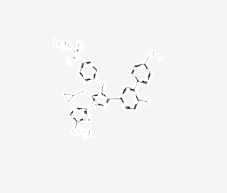 Cc1ccc(-c2cc(-c3nn(-c4nc(C(=O)O)cs4)c(CC4CC4)c3Cc3ccc(S(N)(=O)=O)cc3)ccc2F)cc1